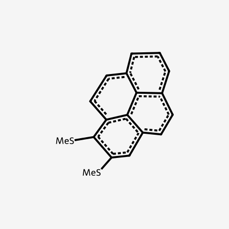 CSc1cc2ccc3cccc4ccc(c1SC)c2c34